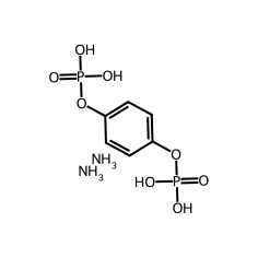 N.N.O=P(O)(O)Oc1ccc(OP(=O)(O)O)cc1